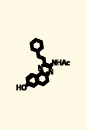 CC(=O)Nc1nc2c(nc1CCC1CCCCC1)-c1ccc(O)cc1CC2